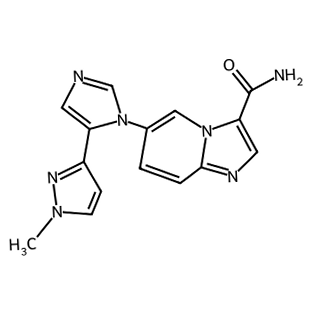 Cn1ccc(-c2cncn2-c2ccc3ncc(C(N)=O)n3c2)n1